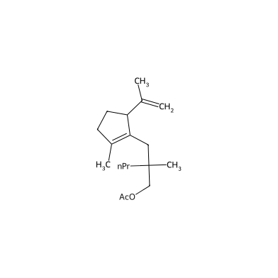 C=C(C)C1CCC(C)=C1CC(C)(CCC)COC(C)=O